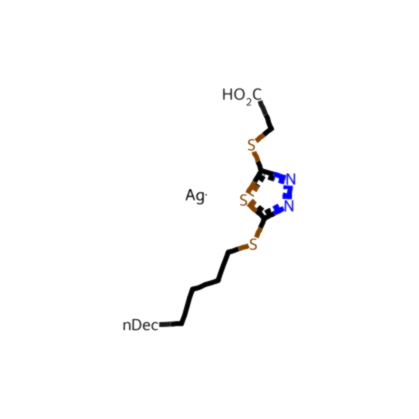 CCCCCCCCCCCCCCSc1nnc(SCC(=O)O)s1.[Ag]